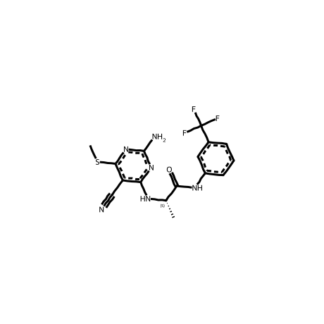 CSc1nc(N)nc(N[C@@H](C)C(=O)Nc2cccc(C(F)(F)F)c2)c1C#N